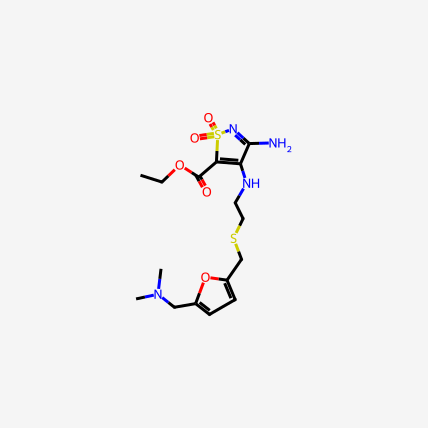 CCOC(=O)C1=C(NCCSCc2ccc(CN(C)C)o2)C(N)=NS1(=O)=O